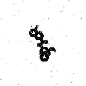 CC(C)(F)CC(Cc1ccccc1)NC(=O)c1cnc2c(F)cccc2c1